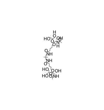 CC(=O)N[C@@H](CO)C(OCCCCC(=O)NCC(C)(C)CNC(=O)CCCCOC(OC(CO)[C@@H](C)O)[C@H](CO)NC(C)=O)OC(CO)[C@@H](C)O